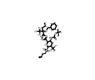 C=CCCS(=O)(=O)c1nc(-c2nnc(C(CCC)(OCc3ccccc3)C(F)(F)F)o2)c(NC(=O)OC(C)(C)C)cc1C(F)(F)F